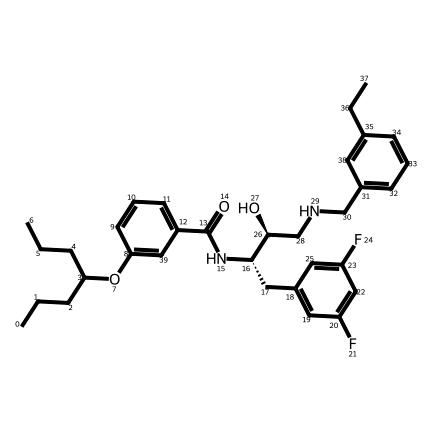 CCCC(CCC)Oc1cccc(C(=O)N[C@@H](Cc2cc(F)cc(F)c2)[C@@H](O)CNCc2cccc(CC)c2)c1